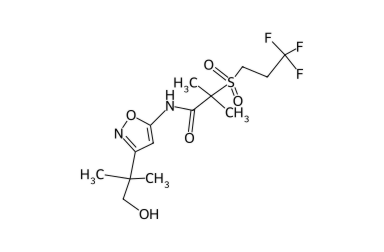 CC(C)(CO)c1cc(NC(=O)C(C)(C)S(=O)(=O)CCC(F)(F)F)on1